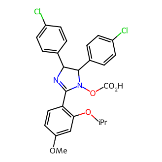 COc1ccc(C2=NC(c3ccc(Cl)cc3)C(c3ccc(Cl)cc3)N2OC(=O)O)c(OC(C)C)c1